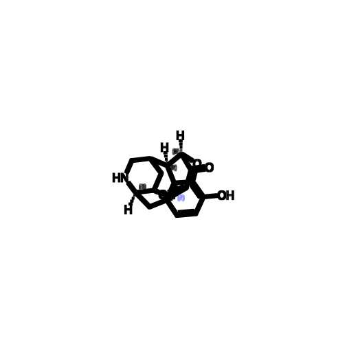 O=C1/C=C\C2(O)CC3CN[C@@H]2Cc2ccc(O)c4c2[C@@H]3[C@H]1O4